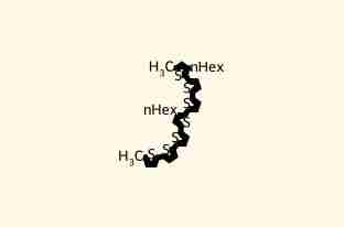 CCCCCCc1cc(C)sc1-c1ccc(-c2ccc(-c3sc(-c4ccc(-c5ccc(-c6ccc(C)s6)s5)s4)cc3CCCCCC)s2)s1